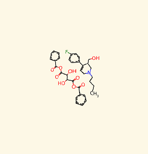 CCCCN1CC=C(c2ccc(F)cc2)C(CO)C1.O=C(OC(=O)C(O)C(O)C(=O)OC(=O)c1ccccc1)c1ccccc1